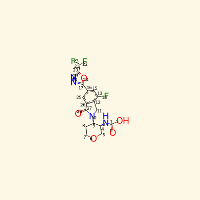 O=C(O)N[C@H]1COCC[C@H]1N1Cc2c(F)cc(-c3nnc(C(F)F)o3)cc2C1=O